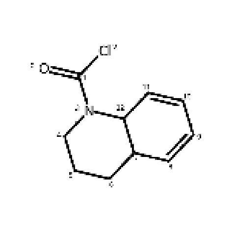 O=C(Cl)N1CCCC2C=CC=CC21